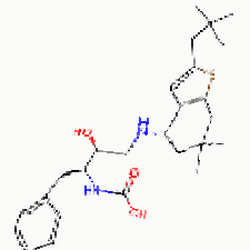 CC(C)(C)Cc1cc2c(s1)CC(C)(C)C[C@@H]2NC[C@H](O)[C@H](Cc1ccccc1)NC(=O)O